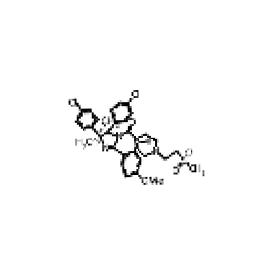 COc1ccc(C2=N[C@@](C)(c3ccc(Cl)cc3)[C@@](C)(c3ccc(Cl)cc3)N2C(=O)N2CCN(CCS(C)(=O)=O)CC2)c(OC(C)C)c1